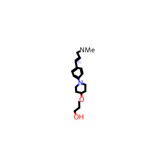 CNC/C=C/c1ccc(N2CCC(OCCCO)CC2)cc1